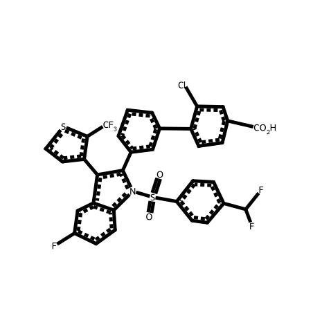 O=C(O)c1ccc(-c2cccc(-c3c(-c4ccsc4C(F)(F)F)c4cc(F)ccc4n3S(=O)(=O)c3ccc(C(F)F)cc3)c2)c(Cl)c1